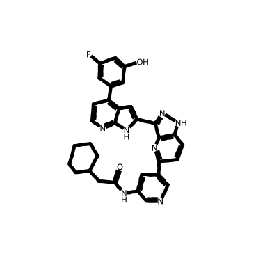 O=C(CC1CCCCC1)Nc1cncc(-c2ccc3[nH]nc(-c4cc5c(-c6cc(O)cc(F)c6)ccnc5[nH]4)c3n2)c1